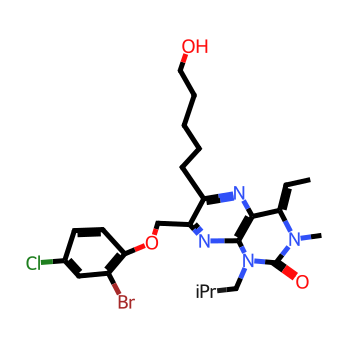 CC=C1c2nc(CCCCCO)c(COc3ccc(Cl)cc3Br)nc2N(CC(C)C)C(=O)N1C